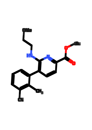 COCCNc1nc(C(=O)OC(C)(C)C)ccc1-c1cccc(C#N)c1C